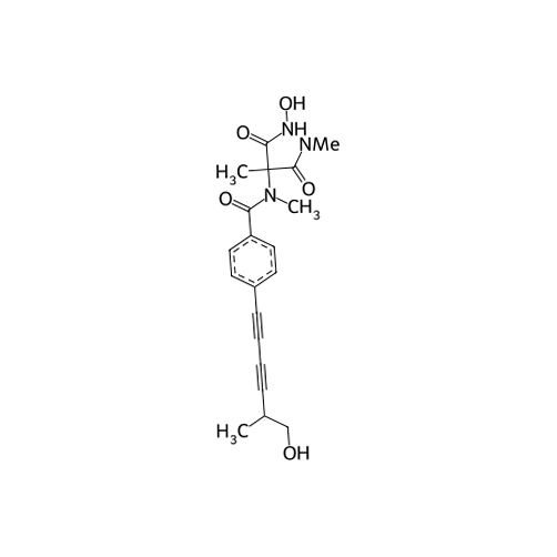 CNC(=O)C(C)(C(=O)NO)N(C)C(=O)c1ccc(C#CC#CC(C)CO)cc1